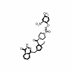 Cc1ccc(O/N=[N+](\[O-])N2CCN(C(=O)c3cc(Cc4n[nH]c(=O)c5ccccc45)ccc3F)CC2)c([N+](=O)[O-])c1